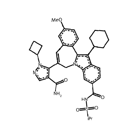 COc1ccc2c(c1)C=C(c1c(C(N)=O)cnn1C1CCC1)Cn1c-2c(C2CCCCC2)c2ccc(C(=O)NS(=O)(=O)C(C)C)cc21